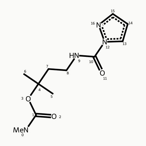 CNC(=O)OC(C)(C)CCNC(=O)n1cccn1